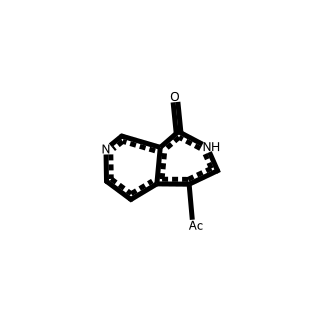 CC(=O)c1c[nH]c(=O)c2cnccc12